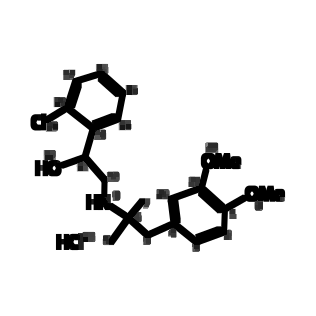 COc1ccc(CC(C)(C)NCC(O)c2ccccc2Cl)cc1OC.Cl